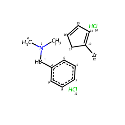 CN(C)Bc1ccccc1.Cl.Cl.[Zr][C]1=CC=CC1